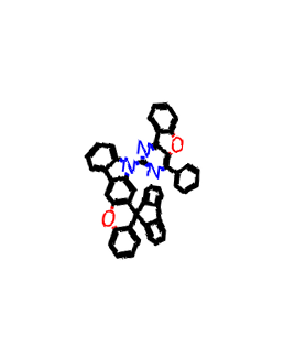 c1ccc(-c2nc(-n3c4ccccc4c4cc5c(cc43)C3(c4ccccc4O5)c4ccccc4-c4ccccc43)nc3c2oc2ccccc23)cc1